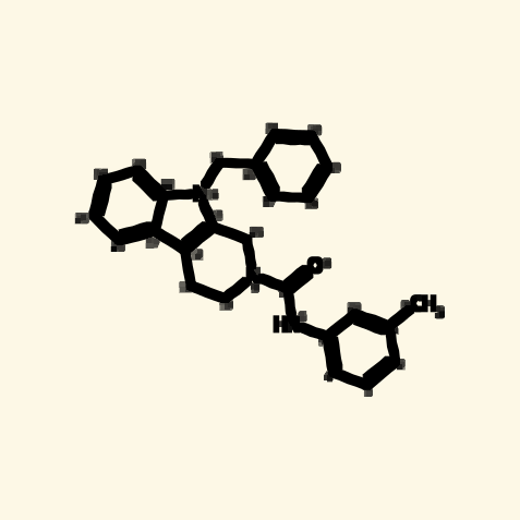 Cc1cccc(NC(=O)N2CCc3c(n(Cc4ccccc4)c4ccccc34)C2)c1